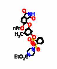 CCCOc1ccc2c(c1Oc1cc(C)cc(OS(=O)(=O)c3ccccc3S(=O)(=O)N3CCN(C(=O)OCC)CC3)c1)C(=O)NC2=O